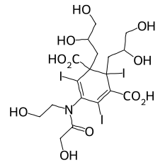 O=C(O)C1=C(I)C(N(CCO)C(=O)CO)=C(I)C(CC(O)CO)(C(=O)O)C1(I)CC(O)CO